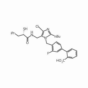 CCCCc1nc(Cl)c(CNC(=O)[C@@H](S)CC(C)C)n1Cc1ccc(-c2ccccc2C(=O)O)cc1F